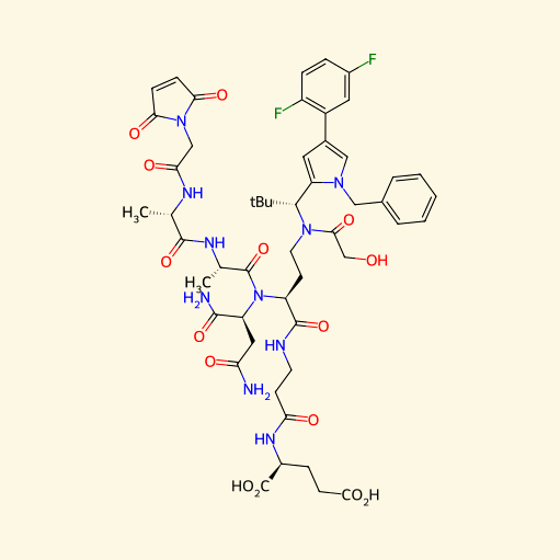 C[C@H](NC(=O)CN1C(=O)C=CC1=O)C(=O)N[C@@H](C)C(=O)N([C@@H](CC(N)=O)C(N)=O)[C@@H](CCN(C(=O)CO)[C@@H](c1cc(-c2cc(F)ccc2F)cn1Cc1ccccc1)C(C)(C)C)C(=O)NCCC(=O)N[C@@H](CCC(=O)O)C(=O)O